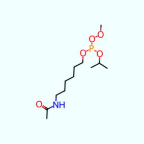 COOP(OCCCCCCNC(C)=O)OC(C)C